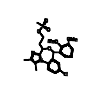 COc1cccc(C2OC(CCOS(C)(=O)=O)c3nc(C)c(C)n3-c3ccc(Cl)cc32)c1OC